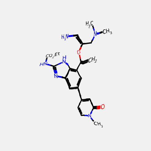 C=C(O/C(=C\N)CN(C)C)c1cc(-c2ccn(C)c(=O)c2)cc2nc(NC(=O)OCC)[nH]c12